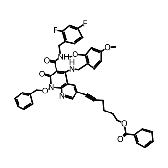 COc1ccc(CNc2c(C(=O)NCc3ccc(F)cc3F)c(=O)n(OCc3ccccc3)c3ncc(C#CCCCCOC(=O)c4ccccc4)cc23)c(OC)c1